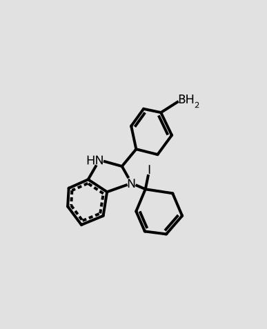 BC1=CCC(C2Nc3ccccc3N2C2(I)C=CC=CC2)C=C1